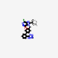 CC(C)c1nc2c(F)nnc(O)c2n1Cc1ccc(-c2ccccc2-c2nnn[nH]2)cc1